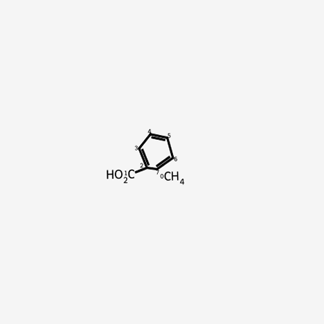 C.O=C(O)c1ccccc1